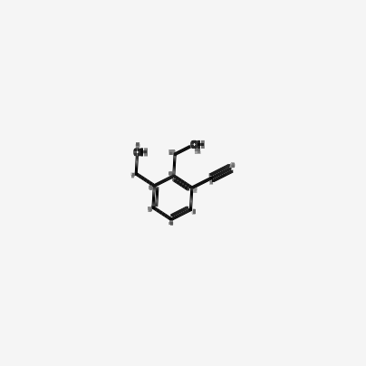 C#Cc1cccc(CO)c1CO